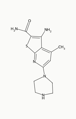 Cc1cc(N2CCNCC2)nc2sc(C(N)=O)c(N)c12